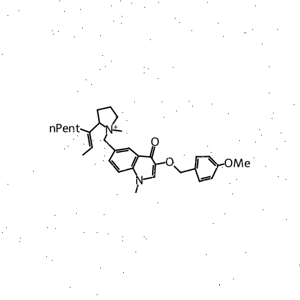 CC=C(CCCCC)C1CCC[N+]1(C)Cc1ccc2c(c1)c(=O)c(OCc1ccc(OC)cc1)cn2C